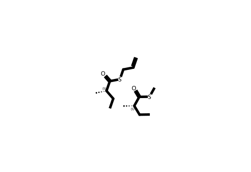 C=CCSC(=O)[C@@H](C)CC.CC[C@H](C)C(=O)SC